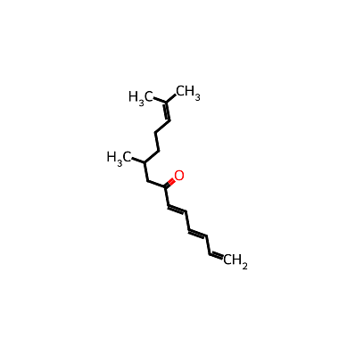 C=CC=CC=CC(=O)CC(C)CCC=C(C)C